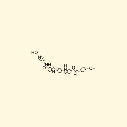 O=C(NCCN1CCN(CCO)CC1)c1ccc2nc(-c3ccc(-c4nc5ccc(C(=O)NCCN6CCN(CCO)CC6)cc5[nH]4)cc3)[nH]c2c1